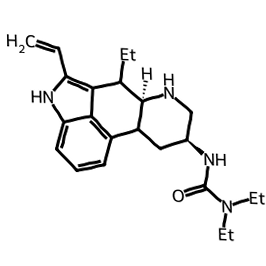 C=Cc1[nH]c2cccc3c2c1C(CC)[C@H]1NC[C@@H](NC(=O)N(CC)CC)CC31